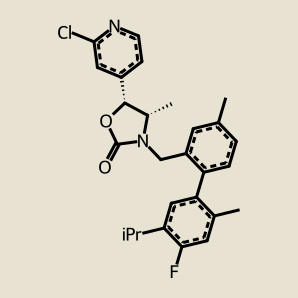 Cc1ccc(-c2cc(C(C)C)c(F)cc2C)c(CN2C(=O)O[C@H](c3ccnc(Cl)c3)[C@@H]2C)c1